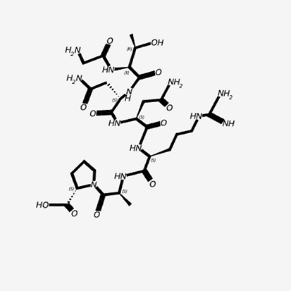 C[C@H](NC(=O)[C@H](CCCNC(=N)N)NC(=O)[C@H](CC(N)=O)NC(=O)[C@H](CC(N)=O)NC(=O)[C@@H](NC(=O)CN)[C@@H](C)O)C(=O)N1CCC[C@H]1C(=O)O